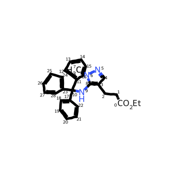 CCOC(=O)CCc1cnn(C)c1NC(c1ccccc1)(c1ccccc1)c1ccccc1